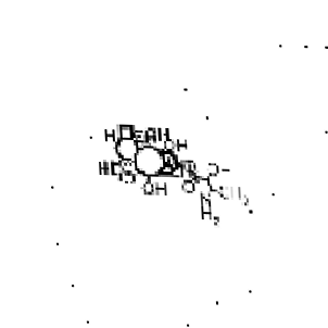 C[C@H](N)[C@@H](O)C(=O)O[C@@H]1CC2[C@@H](O)C(=O)[C@@]3(C)[C@H]([C@H](O)[C@](O)(C1)C2(C)C)[C@]1(O)CC[C@@H]1C[C@@H]3O